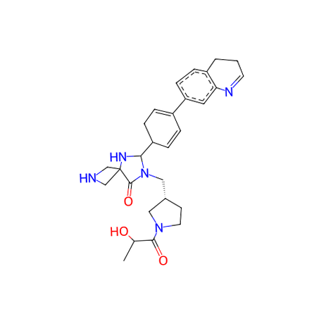 CC(O)C(=O)N1CC[C@@H](CN2C(=O)C3(CNC3)NC2C2C=CC(c3ccc4c(c3)N=CCC4)=CC2)C1